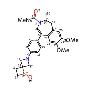 CNC(=O)N1C=C(c2ccc(N3CC4(CC[S+]4[O-])C3)cc2)c2cc(OC)c(OC)cc2C[C@H]1C